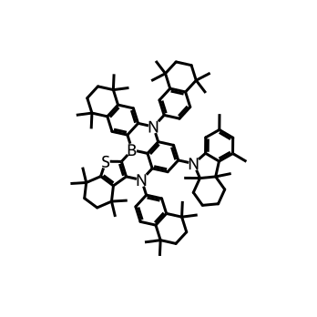 Cc1cc(C)c2c(c1)N(c1cc3c4c(c1)N(c1ccc5c(c1)C(C)(C)CCC5(C)C)c1c(sc5c1C(C)(C)CCC5(C)C)B4c1cc4c(cc1N3c1ccc3c(c1)C(C)(C)CCC3(C)C)C(C)(C)CCC4(C)C)C1(C)CCCCC21C